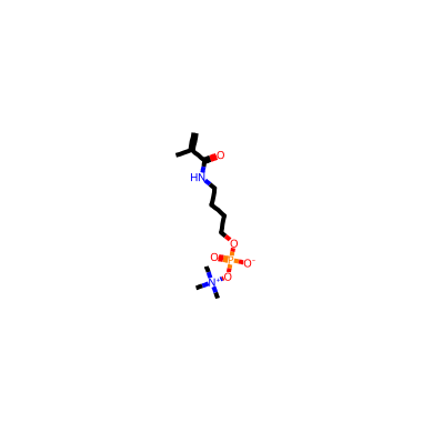 C=C(C)C(=O)NCCCCOP(=O)([O-])O[N+](C)(C)C